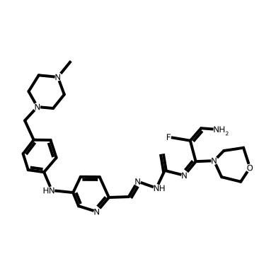 C=C(/N=C(\C(F)=C/N)N1CCOCC1)N/N=C/c1ccc(Nc2ccc(CN3CCN(C)CC3)cc2)cn1